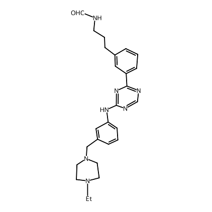 CCN1CCN(Cc2cccc(Nc3ncnc(-c4cccc(CCCNC=O)c4)n3)c2)CC1